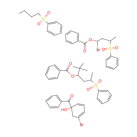 CC(CC(Br)OC(=O)c1ccccc1)S(=O)(=O)c1ccccc1.CC(CC(OC(=O)c1ccccc1)C(C)(C)C)S(=O)(=O)c1ccccc1.CCCCS(=O)(=O)c1ccccc1.O=C(c1ccccc1)C1(O)C=CC=C(Br)C1